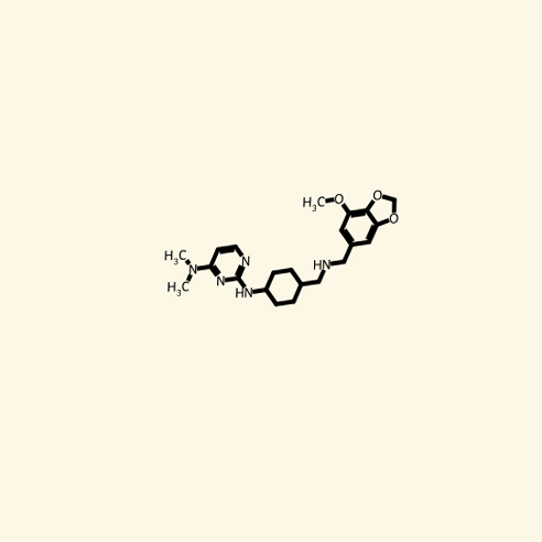 COc1cc(CNCC2CCC(Nc3nccc(N(C)C)n3)CC2)cc2c1OCO2